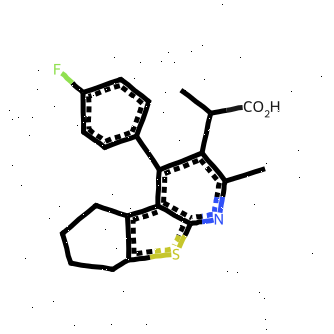 Cc1nc2sc3c(c2c(-c2ccc(F)cc2)c1C(C)C(=O)O)CCCC3